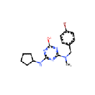 CN(Cc1ccc(Br)cc1)c1nc(O)nc(NC2CCCC2)n1